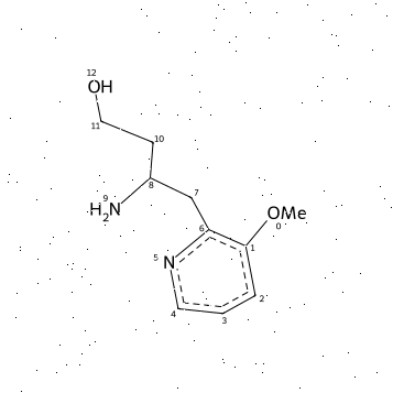 COc1cccnc1CC(N)CCO